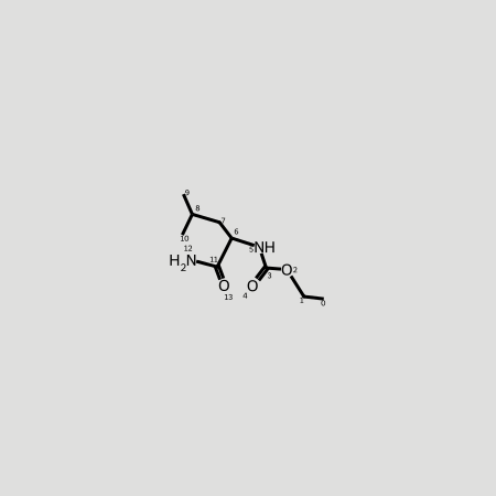 CCOC(=O)NC(CC(C)C)C(N)=O